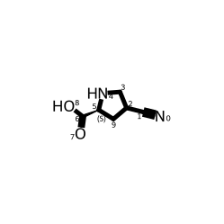 N#CC1CN[C@H](C(=O)O)C1